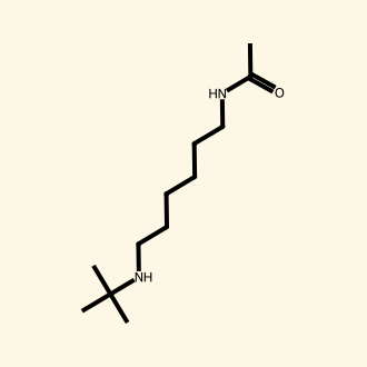 CC(=O)NCCCCCCNC(C)(C)C